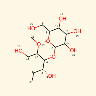 CC[C@@H](O)C(OC1OC(CO)C(O)C(O)C1O)C(CO)OC